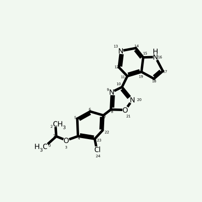 CC(C)Oc1ccc(-c2nc(-c3cncc4[nH]ccc34)no2)cc1Cl